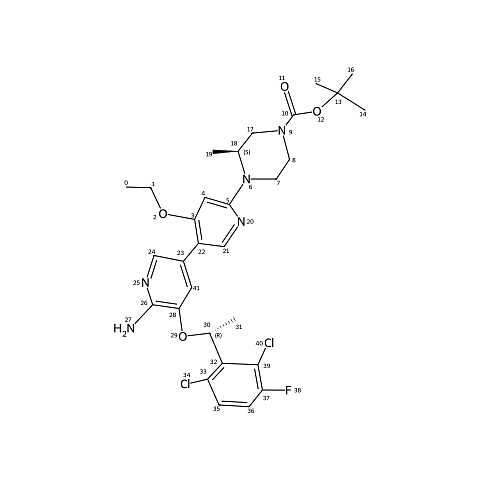 CCOc1cc(N2CCN(C(=O)OC(C)(C)C)C[C@@H]2C)ncc1-c1cnc(N)c(O[C@H](C)c2c(Cl)ccc(F)c2Cl)c1